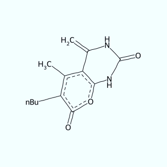 C=C1NC(=O)Nc2oc(=O)c(CCCC)c(C)c21